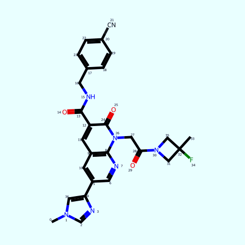 Cn1cnc(-c2cnc3c(c2)cc(C(=O)NCc2ccc(C#N)cc2)c(=O)n3CC(=O)N2CC(C)(F)C2)c1